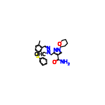 Cc1ccc(Sc2ccccc2)cc1/C=N\N(C=O)Cc1nn(C2CCCCO2)cc1C(N)=O